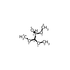 COC(OC)[PH](=O)OC